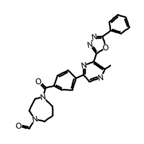 Cc1ncc(-c2ccc(C(=O)N3CCCN(C=O)CC3)cc2)nc1-c1nnc(-c2ccccc2)o1